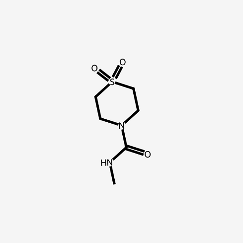 CNC(=O)N1CCS(=O)(=O)CC1